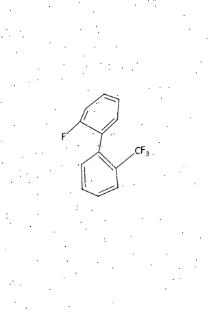 Fc1ccccc1-c1[c]cccc1C(F)(F)F